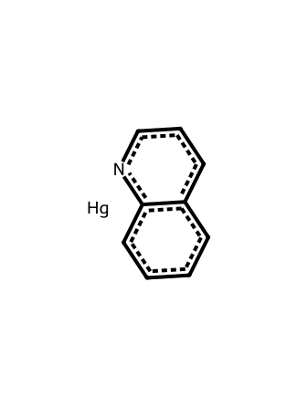 [Hg].c1ccc2ncccc2c1